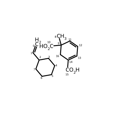 C=CC1CCCCC1.CC1(C(=O)O)C=CC=C(C(=O)O)C1